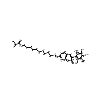 CC(C)C(=O)OCCCCCCCCCCCOc1ccc2cc(-c3c(F)c(F)c(F)c(F)c3F)c(=O)oc2n1